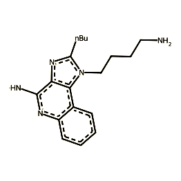 CCCCc1nc2c([NH])nc3ccccc3c2n1CCCCN